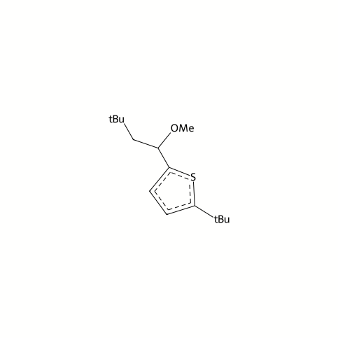 COC(CC(C)(C)C)c1ccc(C(C)(C)C)s1